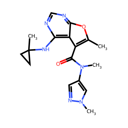 Cc1oc2ncnc(NC3(C)CC3)c2c1C(=O)N(C)c1cnn(C)c1